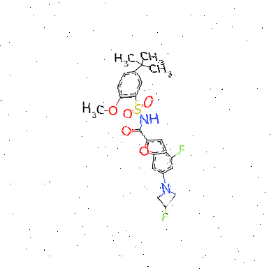 COc1ccc(C(C)(C)C)cc1S(=O)(=O)NC(=O)c1cc2c(F)cc(N3CC(F)C3)cc2o1